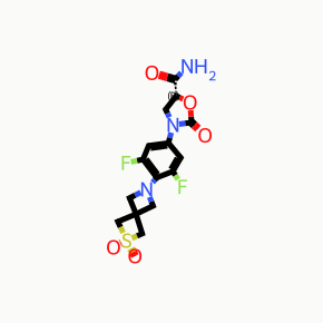 NC(=O)[C@H]1CN(c2cc(F)c(N3CC4(C3)CS(=O)(=O)C4)c(F)c2)C(=O)O1